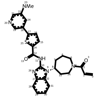 C=CC(=O)N1CCC[C@@H](n2c(NC(=O)c3ccc(-c4cncc(NC)c4)s3)nc3ccccc32)CC1